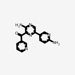 Nc1ccc(-c2cnc(N)c(C(=O)c3cccnc3)n2)cn1